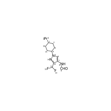 CC(C)C1CCC(n2cc(NC=O)c(C(F)F)n2)CC1